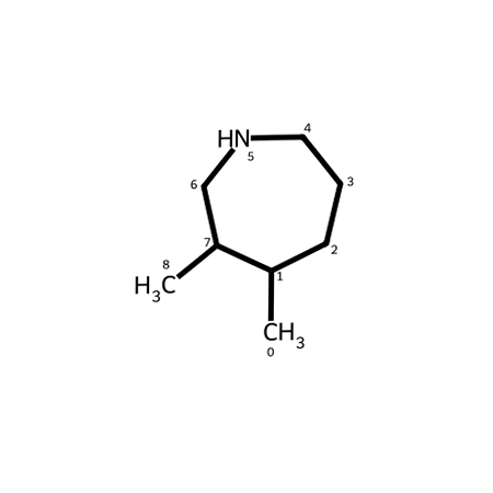 CC1CCCNCC1C